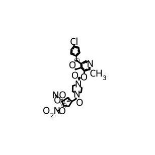 Cc1ncc2c(c1OC(=O)N1CCN(C(=O)C3C[C@H](O[N+](=O)[O-])[C@H](O[N+](=O)[O-])C3)CC1)CO[C@H]2c1ccc(Cl)cc1